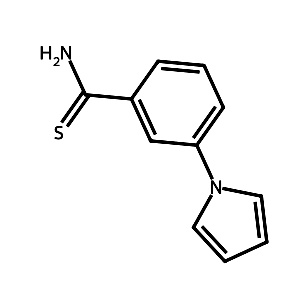 NC(=S)c1cccc(-n2cccc2)c1